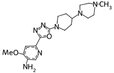 COc1cc(-c2nnc(N3CCC(N4CCN(C)CC4)CC3)o2)ncc1N